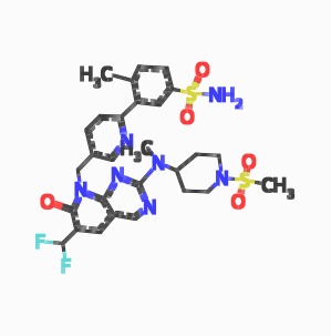 Cc1ccc(S(N)(=O)=O)cc1-c1ccc(Cn2c(=O)c(C(F)F)cc3cnc(N(C)C4CCN(S(C)(=O)=O)CC4)nc32)cn1